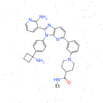 CCNC(=O)C1CCN(c2cccc(-c3ccc4nc(-c5cccnc5N)n(-c5ccc(C6(N)CCC6)cc5)c4n3)c2)CC1